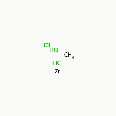 C.Cl.Cl.Cl.[Zr]